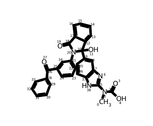 CN(C(=O)O)c1nc2cc(C3(O)c4ccccc4C(=O)N3c3cccc(C(=O)c4ccccc4)c3)ccc2[nH]1